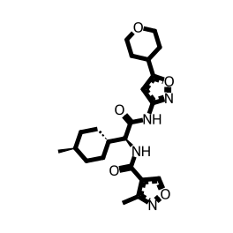 Cc1nocc1C(=O)N[C@H](C(=O)Nc1cc(C2CCOCC2)on1)[C@H]1CC[C@H](C)CC1